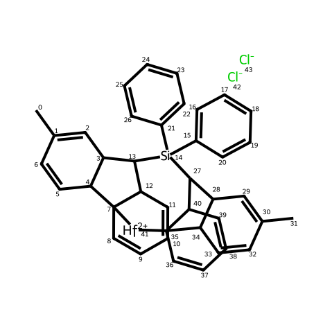 CC1=CC2C(C=C1)[C]13C=CC=CC1C2[Si](c1ccccc1)(c1ccccc1)C1C2C=C(C)C=CC2[C]2(C=CC=CC12)[Hf+2]3.[Cl-].[Cl-]